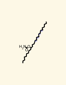 CCCCC/C=C/C=C/C=C/C=C/CCCC(CCCCCCCCC)OC(N)=O